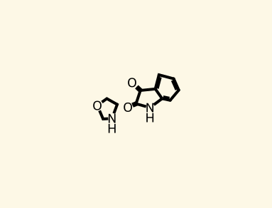 C1COCN1.O=C1Nc2ccccc2C1=O